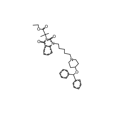 CCOC(=O)C(C)(C)n1c(=O)c2ccccc2n(CCCCCN2CCC(OC(c3ccccc3)c3ccccc3)CC2)c1=O